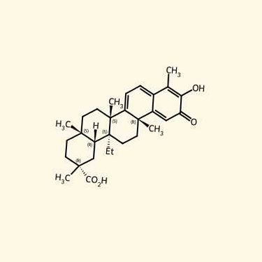 CC[C@@]12CC[C@@]3(C)C4=CC(=O)C(O)=C(C)C4=CC=C3[C@@]1(C)CC[C@@]1(C)CC[C@@](C)(C(=O)O)C[C@H]12